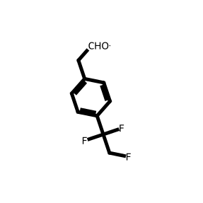 O=[C]Cc1ccc(C(F)(F)CF)cc1